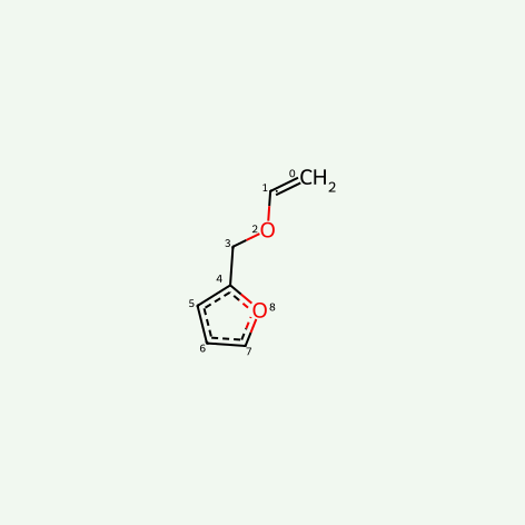 C=[C]OCc1ccco1